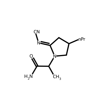 CCCC1CC(=NC#N)N(C(C)C(N)=O)C1